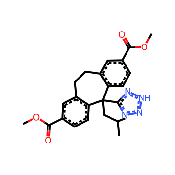 COC(=O)c1ccc2c(c1)CCc1cc(C(=O)OC)ccc1C2(CC(C)C)c1nn[nH]n1